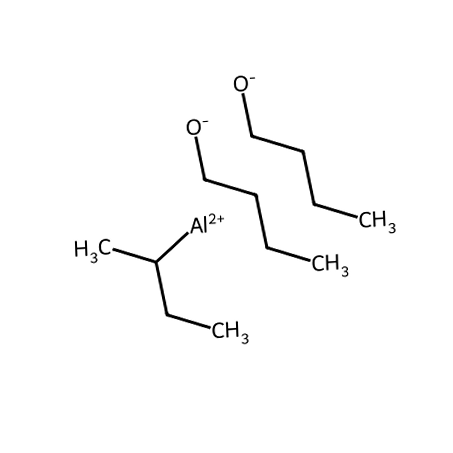 CCCC[O-].CCCC[O-].CC[CH](C)[Al+2]